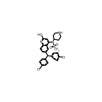 O=S(=O)(N(c1cc(O)nc2ccc(C(c3ccc(Cl)cc3)c3ccc(Cl)cc3)cc12)C1CCNCC1)C(F)(F)F